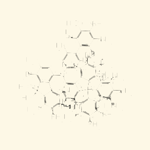 Bc1cc(N(c2cc(B)c(-c3c(B)c(B)c(B)c(B)c3B)c(B)c2)c2cc(B)c(B)c3c2-c2c(B)c(B)c(B)c(B)c2C3(c2c(B)c(B)c(B)c(B)c2B)c2c(B)c(B)c(B)c(B)c2B)c2c(c1B)C(C)(C)c1c(B)c(B)c(B)c(B)c1-2